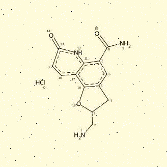 Cl.NCC1Cc2cc(C(N)=O)c3[nH]c(=O)ccc3c2O1